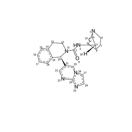 O=C(N[C@@H]1CN2CCC1CC2)N1CCc2ccccc2[C@@H]1c1cnc2nccn2c1